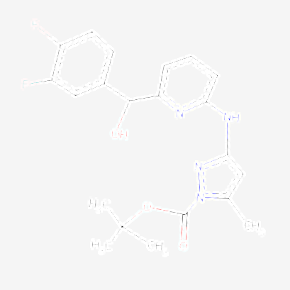 Cc1cc(Nc2cccc(C(O)c3ccc(F)c(F)c3)n2)nn1C(=O)OC(C)(C)C